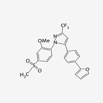 COc1cc(S(C)(=O)=O)ccc1-n1nc(C(F)(F)F)cc1-c1ccc(-c2ccco2)cc1